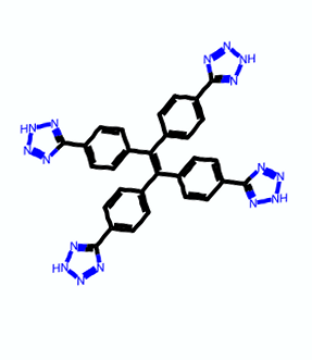 c1cc(-c2nn[nH]n2)ccc1C(=C(c1ccc(-c2nn[nH]n2)cc1)c1ccc(-c2nn[nH]n2)cc1)c1ccc(-c2nn[nH]n2)cc1